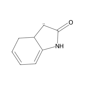 O=C1[C]C2CC=CC=C2N1